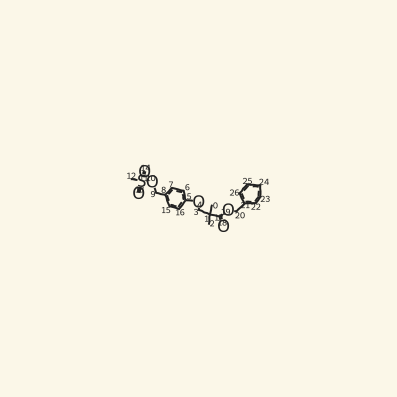 CC(C)(COc1ccc(COS(C)(=O)=O)cc1)C(=O)OCc1ccccc1